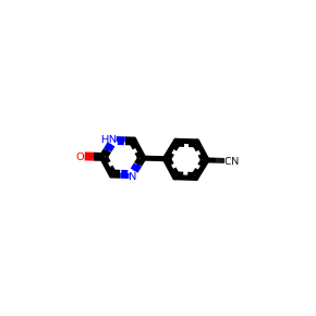 N#Cc1ccc(-c2c[nH]c(=O)cn2)cc1